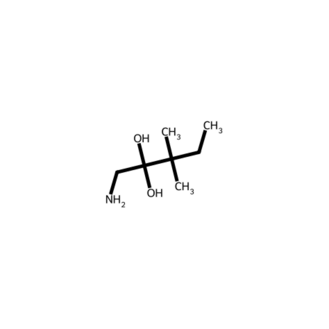 CCC(C)(C)C(O)(O)CN